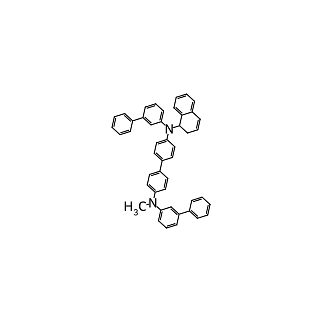 CN(c1ccc(-c2ccc(N(c3cccc(-c4ccccc4)c3)C3CC=Cc4ccccc43)cc2)cc1)c1cccc(-c2ccccc2)c1